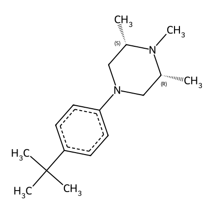 C[C@@H]1CN(c2ccc(C(C)(C)C)cc2)C[C@H](C)N1C